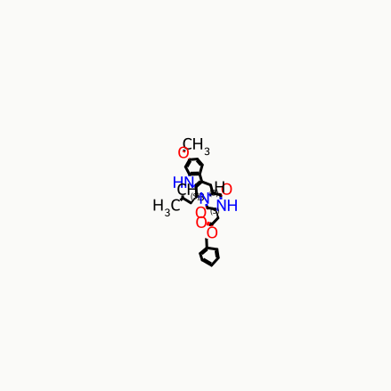 COc1ccc2c3c([nH]c2c1)[C@H](CC(C)C)N1C(=O)[C@H](CC(=O)OCc2ccccc2)NC(=O)[C@@H]1C3